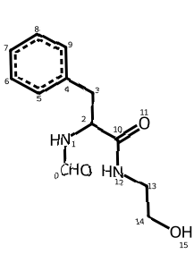 O=CNC(Cc1ccccc1)C(=O)NCCO